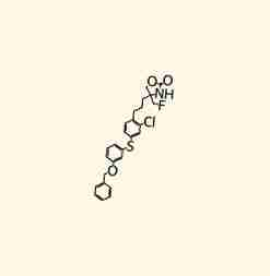 O=C1NC(CF)(CCCc2ccc(Sc3cccc(OCc4ccccc4)c3)cc2Cl)CO1